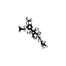 CCc1c(-c2ccc(OC(F)F)c(OCC3CC3)c2)[nH]c2cnn(COCC[Si](C)(C)C)c(=O)c12